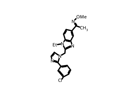 CCn1c(Cn2ccnc2-c2cccc(Cl)c2)nc2cc(C(C)=NOC)ccc21